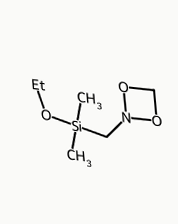 CCO[Si](C)(C)CN1OCO1